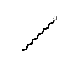 CCCCCCCC/C=C/CCCl